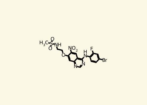 CS(=O)(=O)NCCOc1cc2ncnc(Nc3ccc(Br)cc3F)c2cc1[N+](=O)[O-]